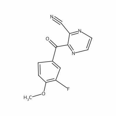 COc1ccc(C(=O)c2nccnc2C#N)cc1F